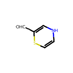 O=[C]C1=CNC=CS1